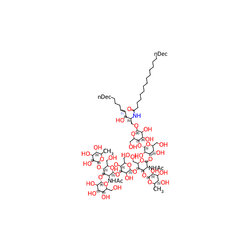 CCCCCCCCCCCCC/C=C/[C@@H](O)[C@H](CO[C@@H]1OC(CO)[C@@H](O[C@@H]2OC(CO)[C@H](O)[C@H](O[C@@H]3OC(CO)[C@@H](O[C@@H]4OC(CO)[C@H](O)[C@H](O[C@@H]5OC(CO)[C@@H](O[C@H]6OC(C)[C@@H](O)C(O)[C@@H]6O)[C@H](O[C@@H]6OC(CO)[C@H](O)[C@H](O)C6O)C5NC(C)=O)C4O)[C@H](O[C@H]4OC(C)[C@@H](O)C(O)[C@@H]4O)C3NC(C)=O)C2O)[C@H](O)C1O)NC(=O)CCCCCCCCCCCCCCCCCCCCCCC